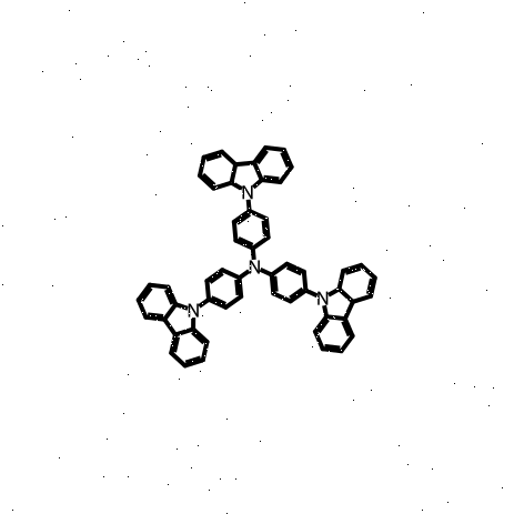 C1=CC2c3ccccc3N(c3ccc(N(c4ccc(N5c6ccccc6C6C=CC=CC65)cc4)c4ccc(-n5c6ccccc6c6ccccc65)cc4)cc3)C2C=C1